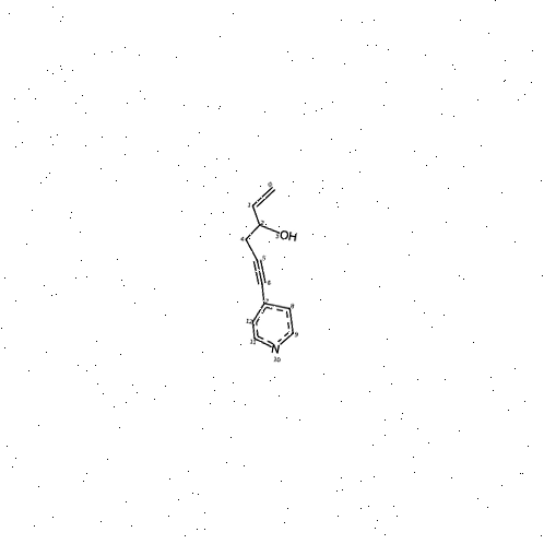 C=CC(O)CC#Cc1ccncc1